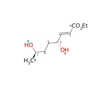 CCOC(=O)/C=C/[C@H](O)CC[C@@H](C)O